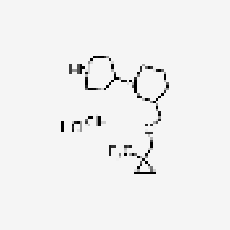 Cl.Cl.FC(F)(F)C1(COCC2CCCN(C3CCNCC3)C2)CC1